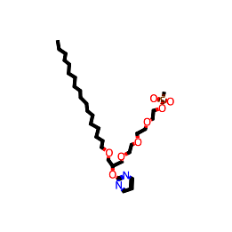 CCCCCCCCCCCCCCCCCCOCC(COCCOCCOCCOS(C)(=O)=O)Oc1ncccn1